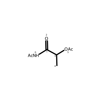 CC(=O)NC(=O)C(C)OC(C)=O